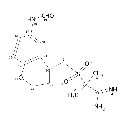 CC(C)(C(=N)N)S(=O)(=O)CC1CCOc2ccc(NC=O)cc21